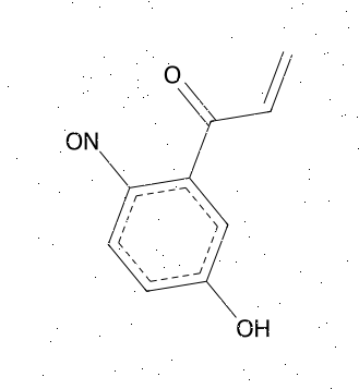 C=CC(=O)c1cc(O)ccc1N=O